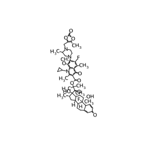 COc1c(N2CCN(Cc3oc(=O)oc3C)C(C)C2)c(F)c(C)c2c(=O)c(C(=O)OC(C)(C)C(=O)[C@@]3(O)[C@H](C)C[C@H]4[C@@H]5CCC6=CC(=O)C=C[C@]6(C)[C@@]5(F)[C@@H](O)C[C@@]43C)c(C)n(C3CC3)c12